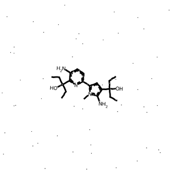 CCC(O)(CC)c1cc(-c2ccc(N)c(C(O)(CC)CC)n2)n(C)c1N